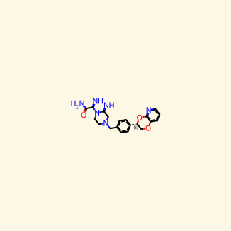 N=C1CN(Cc2ccc([C@H]3COc4cccnc4O3)cc2)CCN1C(=N)C(N)=O